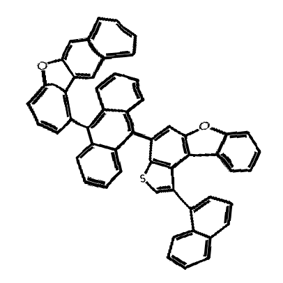 c1ccc2cc3c(cc2c1)oc1cccc(-c2c4ccccc4c(-c4cc5oc6ccccc6c5c5c(-c6cccc7ccccc67)csc45)c4ccccc24)c13